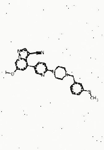 CSc1cccc(CN2CCN(c3ccc(-c4cc(OI)cn5ncc(C#N)c45)cn3)CC2)c1